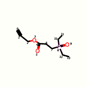 C#CCOC(=O)CCP(=O)(CC)CC